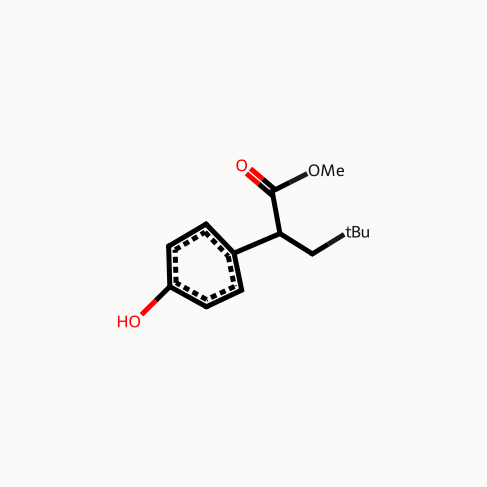 COC(=O)C(CC(C)(C)C)c1ccc(O)cc1